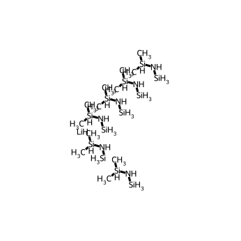 C[SiH](C)N[SiH3].C[SiH](C)N[SiH3].C[SiH](C)N[SiH3].C[SiH](C)N[SiH3].C[SiH](C)N[SiH3].C[SiH](C)N[SiH3].[LiH]